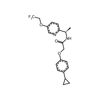 C[C@@H](NC(=O)COc1ccc(C2CC2)cc1)c1ccc(OCC(F)(F)F)cn1